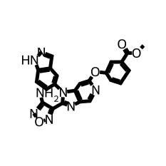 COC(=O)c1cccc(Oc2cc3c(cn2)nc(-c2nonc2N)n3-c2ccc3[nH]ncc3c2)c1